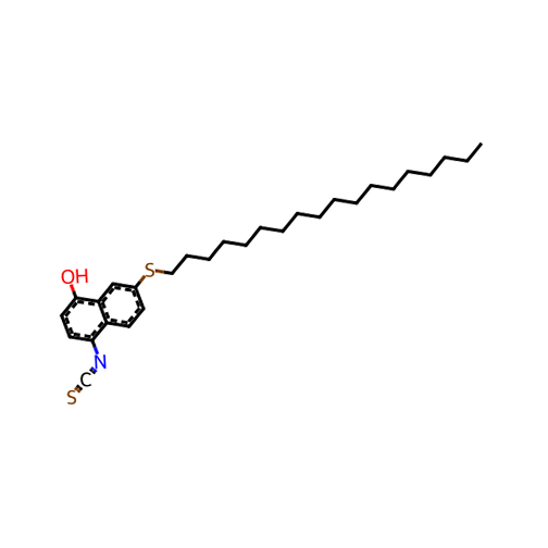 CCCCCCCCCCCCCCCCCCSc1ccc2c(N=C=S)ccc(O)c2c1